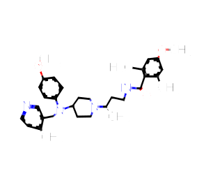 COc1ccc(N(Cc2cnccc2C)C2CCN([C@H](C)CCNC(=O)c3c(C)cc(OC)cc3C)CC2)cc1